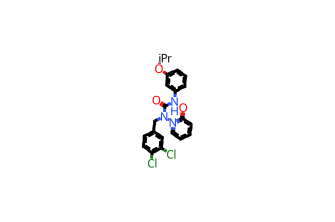 CC(C)Oc1cccc(NC(=O)N(Cc2ccc(Cl)c(Cl)c2)n2ccccc2=O)c1